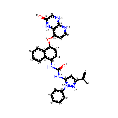 C=C(C)c1cc(NC(=O)Nc2ccc(Oc3ccnc4ncc(=O)[nH]c34)c3ccccc23)n(-c2ccccc2)n1